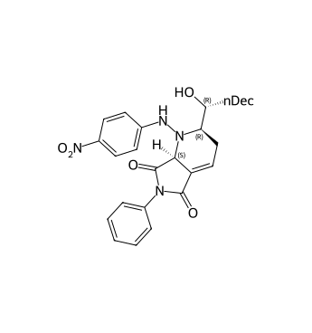 CCCCCCCCCC[C@@H](O)[C@H]1CC=C2C(=O)N(c3ccccc3)C(=O)[C@H]2N1Nc1ccc([N+](=O)[O-])cc1